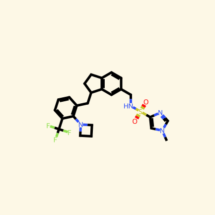 Cn1cnc(S(=O)(=O)NCc2ccc3c(c2)C(Cc2cccc(C(F)(F)F)c2N2CCC2)CC3)c1